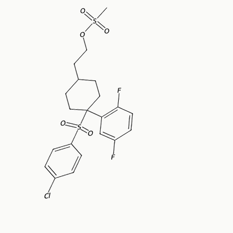 CS(=O)(=O)OCCC1CCC(c2cc(F)ccc2F)(S(=O)(=O)c2ccc(Cl)cc2)CC1